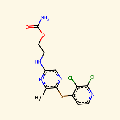 Cc1nc(NCCOC(N)=O)cnc1Sc1ccnc(Cl)c1Cl